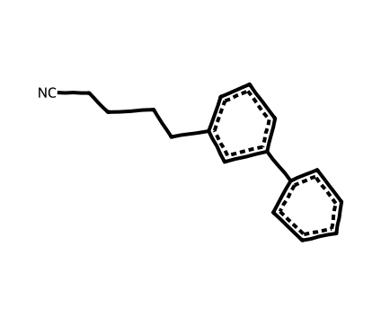 N#CCCCCc1cccc(-c2ccccc2)c1